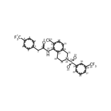 O=C(Cc1ccc(C(F)(F)F)cc1)Nc1c(Cl)ccc2c1CCN(S(=O)(=O)c1cccc(C(F)(F)F)c1)C2